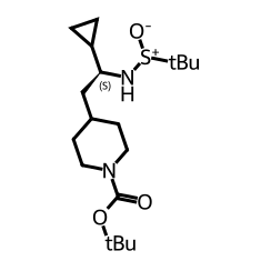 CC(C)(C)OC(=O)N1CCC(C[C@H](N[S+]([O-])C(C)(C)C)C2CC2)CC1